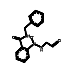 O=CCN[S+]([O-])c1ccccc1C(=O)NCc1ccccc1